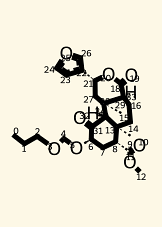 CCCOCO[C@H]1C[C@@H](C(=O)OC)[C@]2(C)CC[C@H]3C(=O)O[C@@H](c4ccoc4)C[C@]3(C)[C@H]2C1=O